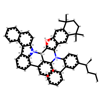 CCC[C@H](C)c1ccc(N2c3cc(C)cc4c3B(c3oc5cc6c(cc5c32)C(C)(C)CCC6(C)C)n2c3ccc5ccccc5c3c3cccc-4c32)c(-c2ccccc2)c1